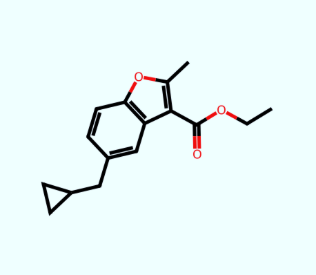 CCOC(=O)c1c(C)oc2ccc(CC3CC3)cc12